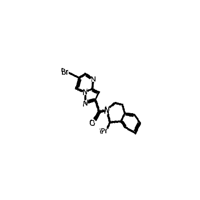 CC(C)C1c2ccccc2CCN1C(=O)c1cc2ncc(Br)cn2n1